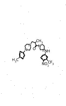 Cc1ccc(N2CCN(CC(C)C(=O)N3CC[C@@H](Nc4ccc([N+](=O)[O-])c(C(F)(F)F)c4)C3)CC2)cc1